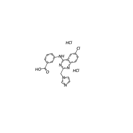 Cl.Cl.O=C(O)c1cccc(Nc2nc(Cn3ccnc3)nc3ccc(Cl)cc23)c1